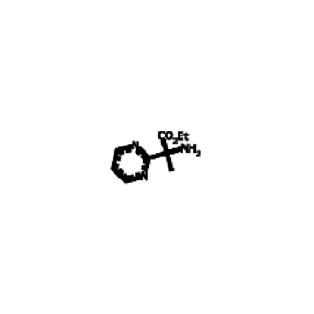 CCOC(=O)C(C)(N)c1ncccn1